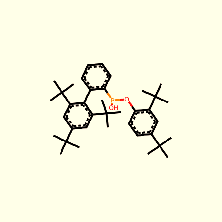 CC(C)(C)c1ccc(OP(O)c2ccccc2-c2c(C(C)(C)C)cc(C(C)(C)C)cc2C(C)(C)C)c(C(C)(C)C)c1